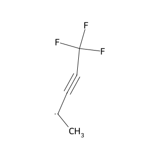 C[CH]C#CC(F)(F)F